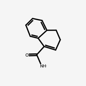 [NH]C(=O)C1=CCCc2ccccc21